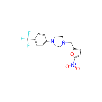 O=[N+]([O-])c1ccc(CN2CCN(c3ccc(C(F)(F)F)cc3)CC2)o1